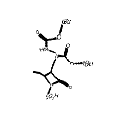 CC1C(N(NC(=O)OC(C)(C)C)C(=O)OC(C)(C)C)C(=O)N1S(=O)(=O)O